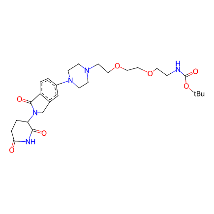 CC(C)(C)OC(=O)NCCOCCOCCN1CCN(c2ccc3c(c2)CN(C2CCC(=O)NC2=O)C3=O)CC1